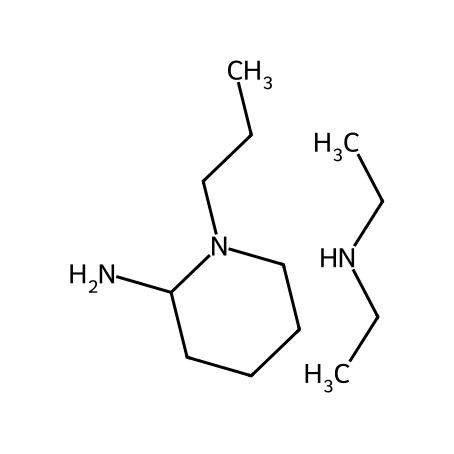 CCCN1CCCCC1N.CCNCC